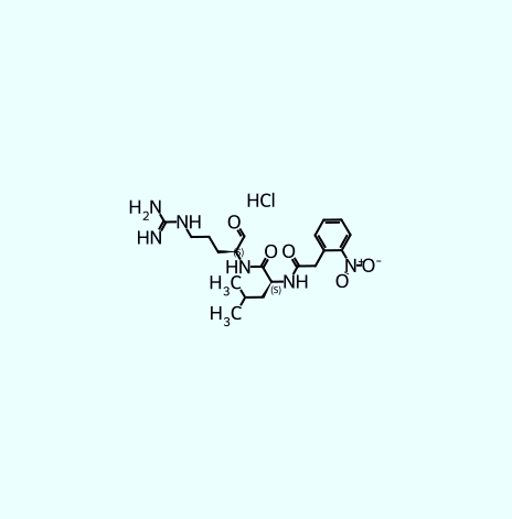 CC(C)C[C@H](NC(=O)Cc1ccccc1[N+](=O)[O-])C(=O)N[C@H](C=O)CCCNC(=N)N.Cl